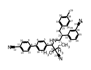 C[C@H](NC(c1ccc(-c2ccc(C#N)cc2)cc1)C(C)(C)C#N)[C@@H](Cc1ccc(I)cc1)c1cccc(C#N)c1